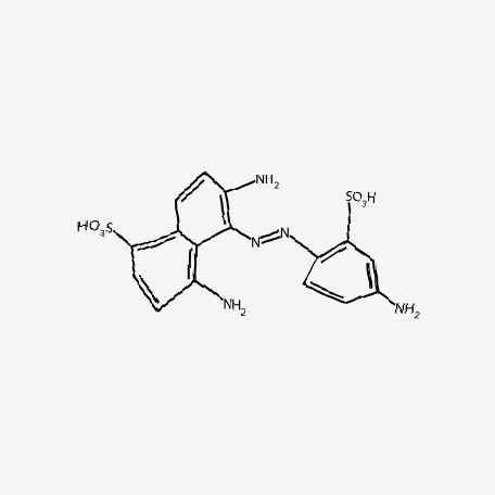 Nc1ccc(N=Nc2c(N)ccc3c(S(=O)(=O)O)ccc(N)c23)c(S(=O)(=O)O)c1